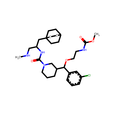 CNCC(CC12CCC(CC1)CC2)NC(=O)N1CCCC(C(OCCNC(=O)OC)c2cccc(Cl)c2)C1